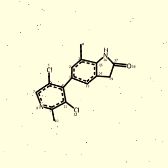 Cc1cc(-c2c(Cl)cnc(C)c2Cl)cc2c1NC(=O)C2